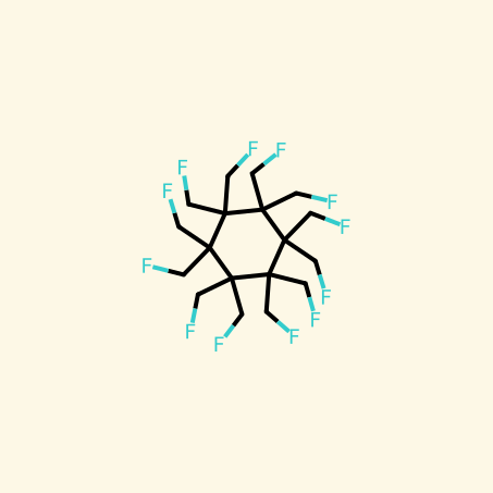 FCC1(CF)C(CF)(CF)C(CF)(CF)C(CF)(CF)C(CF)(CF)C1(CF)CF